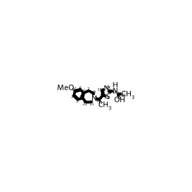 COc1ccc2c(c1)CCN([C@H](C)c1cnc(NC(C)O)s1)CC2